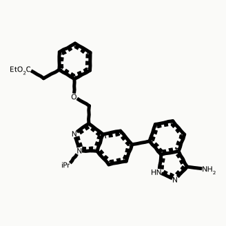 CCOC(=O)Cc1ccccc1OCc1nn(C(C)C)c2ccc(-c3cccc4c(N)n[nH]c34)cc12